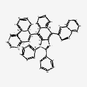 c1ccc(-c2nc3c(-c4ccc5ccccc5c4)c4ccccc4c(-c4cc5ncncc5c5ccccc45)c3n2-c2ccccc2)cc1